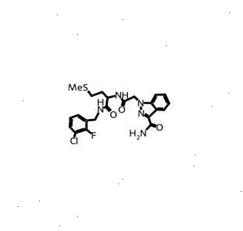 CSCCC(NC(=O)Cn1nc(C(N)=O)c2ccccc21)C(=O)NCc1cccc(Cl)c1F